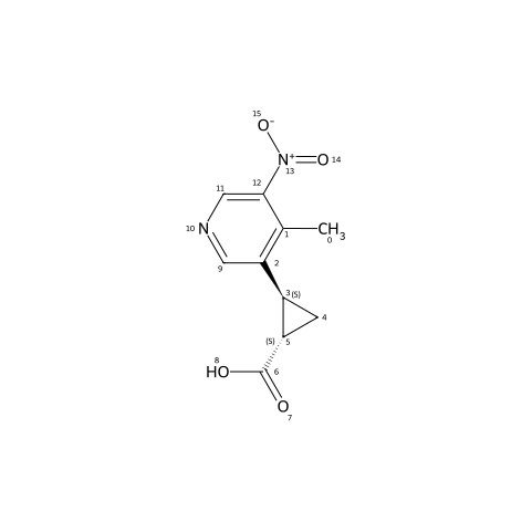 Cc1c([C@H]2C[C@@H]2C(=O)O)cncc1[N+](=O)[O-]